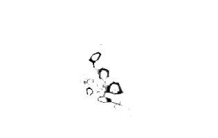 CC(=O)c1cccc(N(C(N)=O)[C@@H]2CCCC[C@H]2CN2CCC[C@@H](Cc3ccc(F)cc3)C2)c1.O=S(=O)(O)c1ccccc1